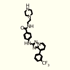 O=C(NCCN1CCNCC1)c1ccc(Nc2nc3c(-c4cccc(C(F)(F)F)c4)cccn3n2)cc1